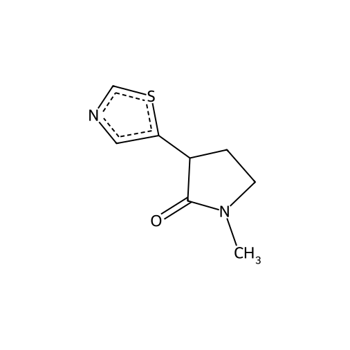 CN1CCC(c2cncs2)C1=O